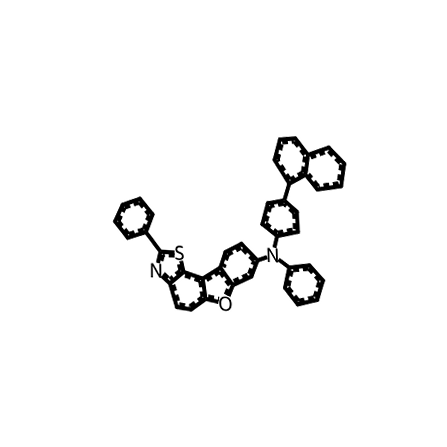 c1ccc(-c2nc3ccc4oc5cc(N(c6ccccc6)c6ccc(-c7cccc8ccccc78)cc6)ccc5c4c3s2)cc1